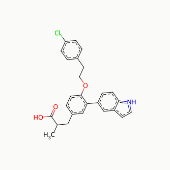 CC(Cc1ccc(OCCc2ccc(Cl)cc2)c(-c2ccc3[nH]ccc3c2)c1)C(=O)O